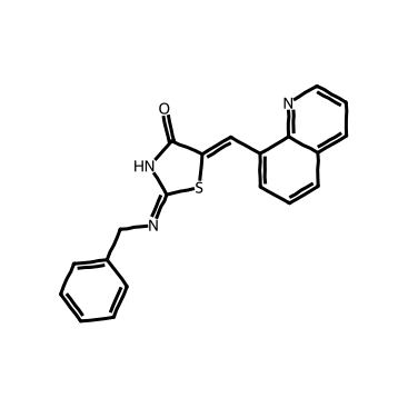 O=C1NC(=NCc2ccccc2)SC1=Cc1cccc2cccnc12